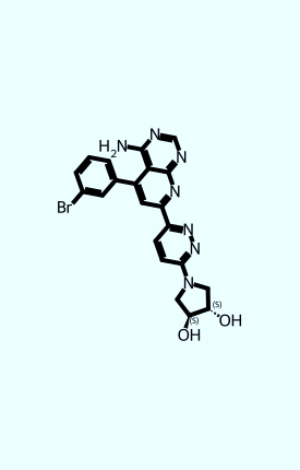 Nc1ncnc2nc(-c3ccc(N4C[C@H](O)[C@@H](O)C4)nn3)cc(-c3cccc(Br)c3)c12